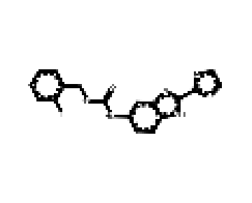 O=C(NCc1ccccc1F)Nc1ccc2[nH]c(-c3nccs3)nc2c1